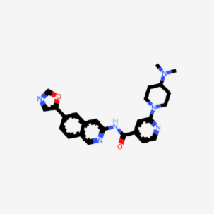 CN(C)C1CCN(c2cc(C(=O)Nc3cc4cc(-c5cnco5)ccc4cn3)ccn2)CC1